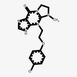 CN1CC[n+]2c1n(CCOc1ccc(Cl)cc1)c1[nH]cnc1c2=O